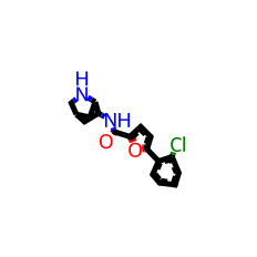 O=C(NC1CC2CNC1C2)c1ccc(-c2ccccc2Cl)o1